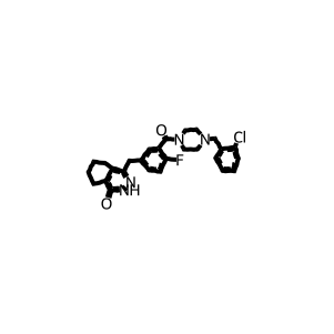 O=C(c1cc(Cc2n[nH]c(=O)c3c2CCCC3)ccc1F)N1CCN(Cc2ccccc2Cl)CC1